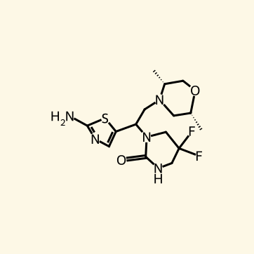 C[C@@H]1CN(CC(c2cnc(N)s2)N2CC(F)(F)CNC2=O)[C@H](C)CO1